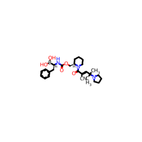 CC(C)(C=C(C#N)C(=O)N1CCCC[C@@H]1COC(=O)N[C@@H](Cc1ccccc1)B(O)O)N1CCCC1